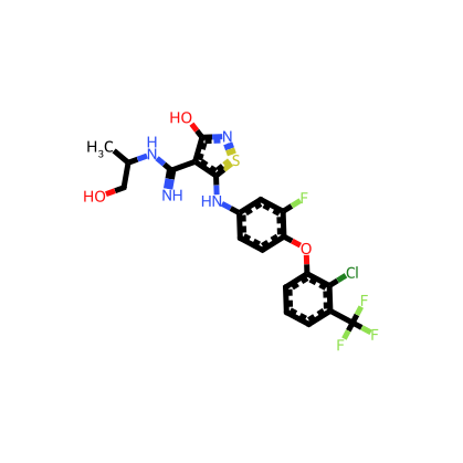 CC(CO)NC(=N)c1c(O)nsc1Nc1ccc(Oc2cccc(C(F)(F)F)c2Cl)c(F)c1